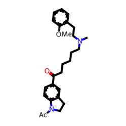 COc1ccccc1CCN(C)CCCCCC(=O)c1ccc2c(c1)CCN2C(C)=O